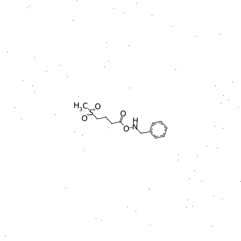 CS(=O)(=O)CCCC(=O)ONCc1ccccc1